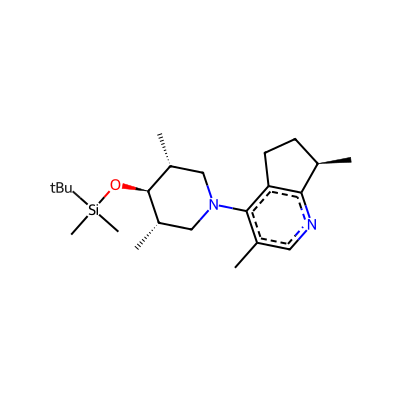 Cc1cnc2c(c1N1C[C@@H](C)[C@H](O[Si](C)(C)C(C)(C)C)[C@@H](C)C1)CC[C@H]2C